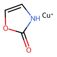 O=c1[nH]cco1.[Cu+]